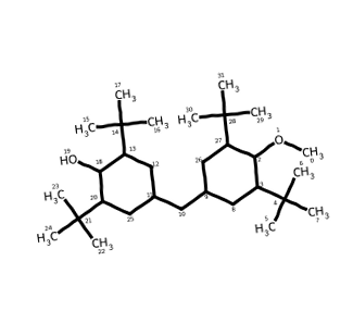 COC1C(C(C)(C)C)CC(CC2CC(C(C)(C)C)C(O)C(C(C)(C)C)C2)CC1C(C)(C)C